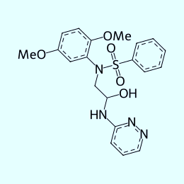 COc1ccc(OC)c(N(CC(O)Nc2cccnn2)S(=O)(=O)c2ccccc2)c1